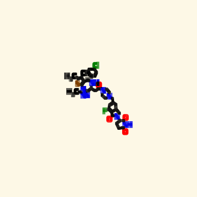 Cc1sc2c(c1C)[C@H](c1ccc(Cl)cc1)NC(CC(=O)N1CCN(Cc3cc(F)c4c(c3)CN(C3CCC(=O)NC3=O)C4=O)CC1)c1nnc(C)n1-2